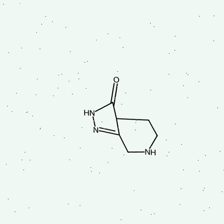 O=C1NN=C2CNCCC12